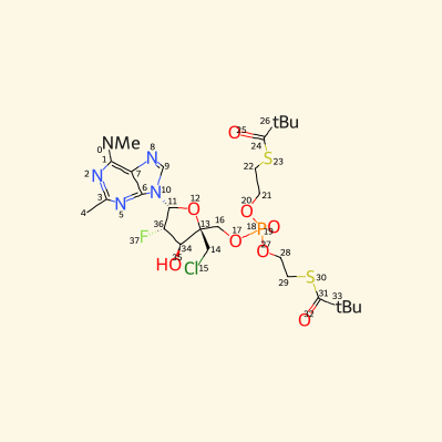 CNc1nc(C)nc2c1ncn2[C@@H]1O[C@](CCl)(COP(=O)(OCCSC(=O)C(C)(C)C)OCCSC(=O)C(C)(C)C)[C@@H](O)[C@@H]1F